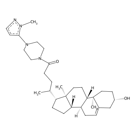 CC(CCC(=O)N1CCN(c2ccnn2C)CC1)[C@H]1CC[C@H]2[C@@H]3CC=C4C[C@@H](O)CC[C@]4(C)[C@H]3CC[C@]12C